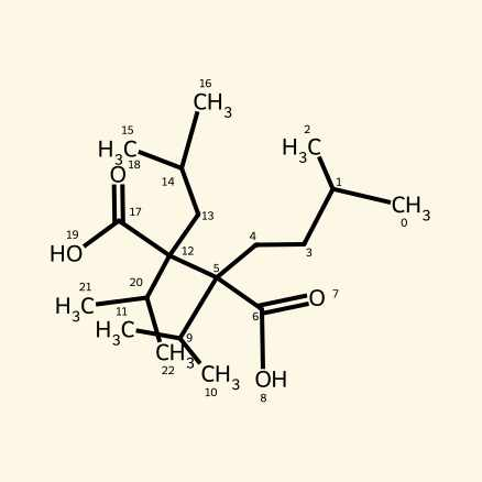 CC(C)CCC(C(=O)O)(C(C)C)C(CC(C)C)(C(=O)O)C(C)C